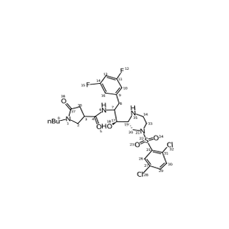 CCCCN1CC(C(=O)NC(Cc2cc(F)cc(F)c2)[C@H](O)[C@H]2CN(S(=O)(=O)c3cc(Cl)ccc3Cl)CCN2)CC1=O